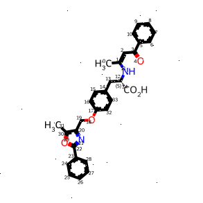 CC(=CC(=O)c1ccccc1)N[C@@H](Cc1ccc(OCc2nc(-c3ccccc3)oc2C)cc1)C(=O)O